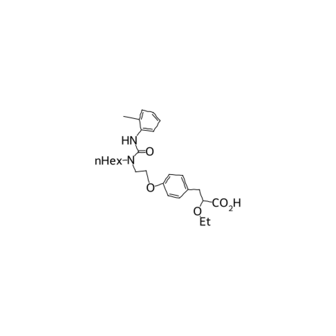 CCCCCCN(CCOc1ccc(CC(OCC)C(=O)O)cc1)C(=O)Nc1ccccc1C